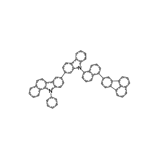 c1ccc(-n2c3ccc(-c4ccc5c6ccccc6n(-c6cccc7c(-c8ccc9c(c8)-c8cccc%10cccc-9c8%10)cccc67)c5c4)cc3c3ccc4ccccc4c32)cc1